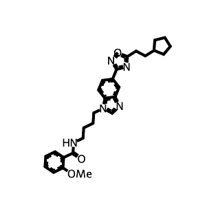 COc1ccccc1C(=O)NCCCCn1cnc2cc(-c3noc(CCC4CCCC4)n3)ccc21